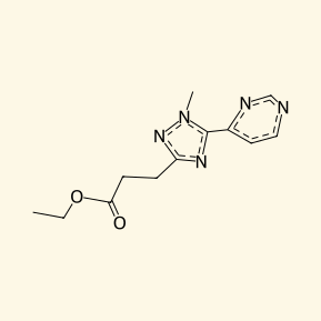 CCOC(=O)CCc1nc(-c2ccncn2)n(C)n1